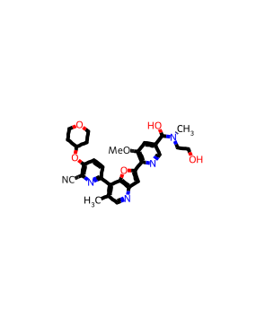 COc1cc(C(O)N(C)CCO)cnc1-c1cc2ncc(C)c(-c3ccc(OC4CCOCC4)c(C#N)n3)c2o1